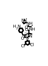 C[C@@H](NC(=O)c1cnc2n1[C@](C)(Cc1ccc(N)cc1)C(=O)N2c1cc(Cl)cc(Cl)c1)C(=O)Nc1ccnn1C